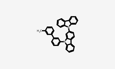 Cc1cccc(-c2cccc(-n3c4ccccc4c4ccc(-n5c6ccccc6c6ccccc65)cc43)c2)c1